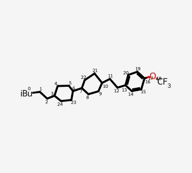 CCC(C)CCC1CCC(C2CCC(CCc3ccc(OC(F)(F)F)cc3)CC2)CC1